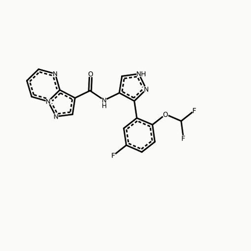 O=C(Nc1c[nH]nc1-c1cc(F)ccc1OC(F)F)c1cnn2cccnc12